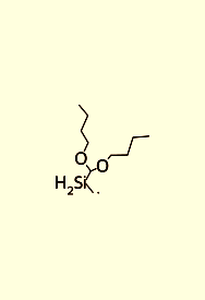 [CH2][SiH2]C(OCCCC)OCCCC